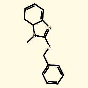 CN1C(SCc2ccccc2)=NC2=CC=CCC21